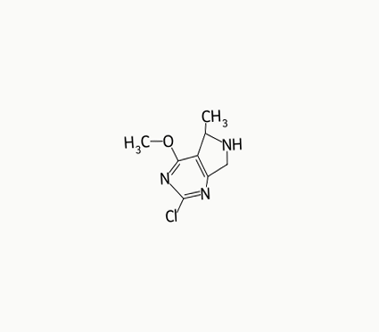 COc1nc(Cl)nc2c1C(C)NC2